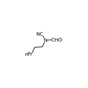 CCCCCN([C]=O)C#N